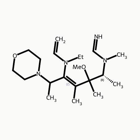 C=CN(CC)/C(=C(/C)C(C)(OC)[C@@H](C)N(C)C=N)C(C)N1CCOCC1